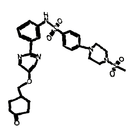 CS(=O)(=O)N1CCN(c2ccc(S(=O)(=O)Nc3cccc(-c4ncc(OCC5CCC(=O)CC5)cn4)c3)cc2)CC1